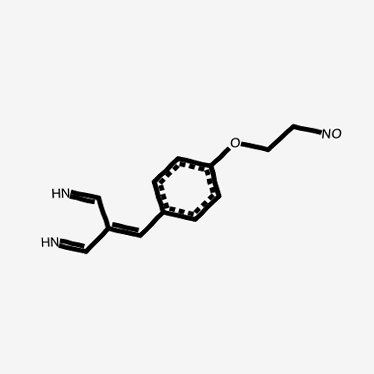 N=CC(C=N)=Cc1ccc(OCCN=O)cc1